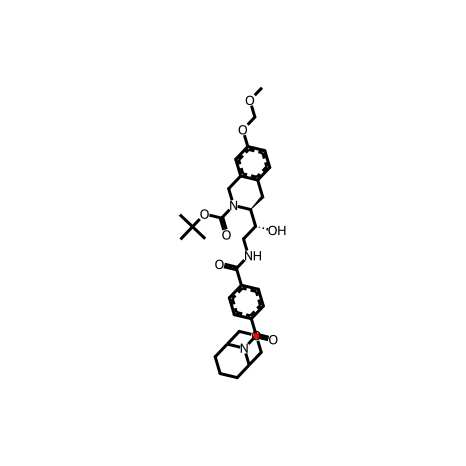 COCOc1ccc2c(c1)CN(C(=O)OC(C)(C)C)[C@H]([C@H](O)CNC(=O)c1ccc(C(=O)N3C4CCCC3COC4)cc1)C2